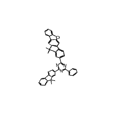 CC1(C)c2ccccc2-c2ccc(-c3nc(-c4ccccc4)nc(-c4ccc5c(c4)C(C)(C)c4cc6c(cc4-5)oc4ccccc46)n3)cc21